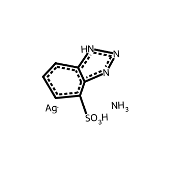 N.O=S(=O)(O)c1cccc2[nH]nnc12.[Ag]